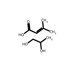 CC(C)=CC(=O)O.CC(O)CO